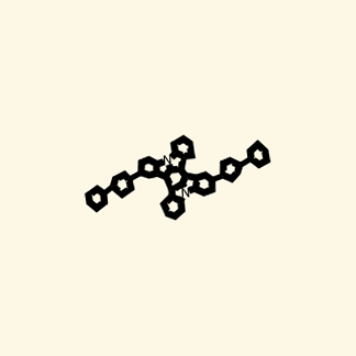 c1ccc(-c2ccc(-c3ccc4c(c3)c3c5c6ccccc6n6c7ccc(-c8ccc(-c9ccccc9)cc8)cc7c(c7c8ccccc8n4c73)c56)cc2)cc1